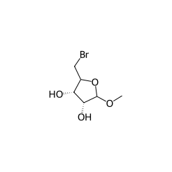 COC1OC(CBr)[C@@H](O)[C@H]1O